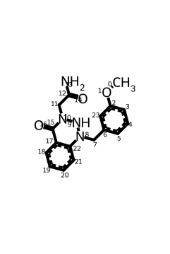 COc1cccc(CN2NN(CC(N)=O)C(=O)c3ccccc32)c1